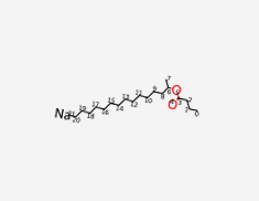 CCCC(=O)OC(C)CCCCCCCCCCCC[CH2][Na]